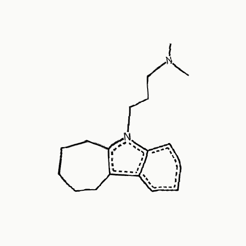 CN(C)CCCn1c2c(c3ccccc31)CCCCC2